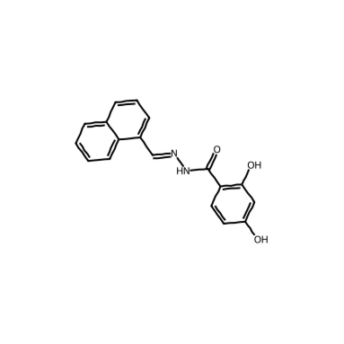 O=C(NN=Cc1cccc2ccccc12)c1ccc(O)cc1O